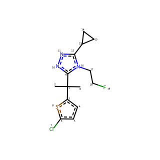 CC(C)(c1ccc(Cl)s1)c1nnc(C2CC2)n1CCF